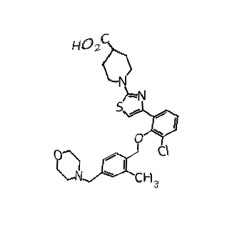 Cc1cc(CN2CCOCC2)ccc1COc1c(Cl)cccc1-c1csc(N2CCC(C(=O)O)CC2)n1